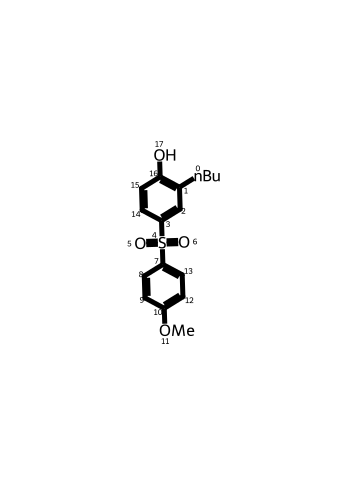 CCCCc1cc(S(=O)(=O)c2ccc(OC)cc2)ccc1O